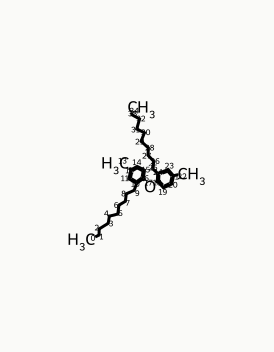 CCCCCCCCCCc1cc(C)ccc1Oc1ccc(C)cc1CCCCCCCCCC